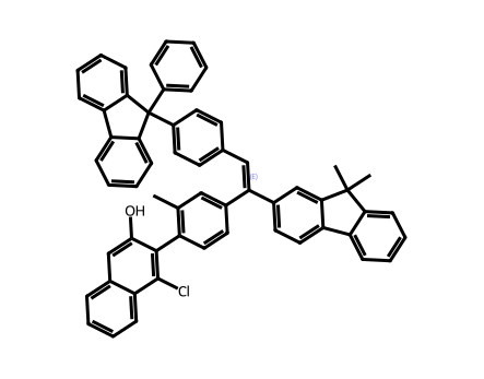 Cc1cc(/C(=C\c2ccc(C3(c4ccccc4)c4ccccc4-c4ccccc43)cc2)c2ccc3c(c2)C(C)(C)c2ccccc2-3)ccc1-c1c(O)cc2ccccc2c1Cl